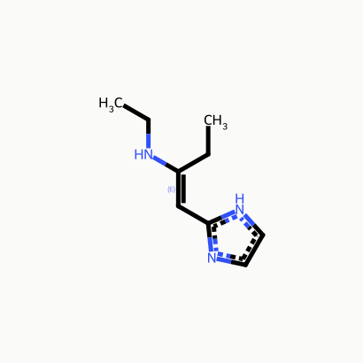 CCN/C(=C/c1ncc[nH]1)CC